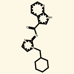 O=C(/N=c1\sccn1CC1CCCCC1)c1c[nH]c2ncccc12